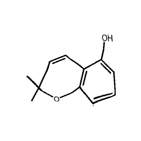 CC1(C)C=Cc2c([c]ccc2O)O1